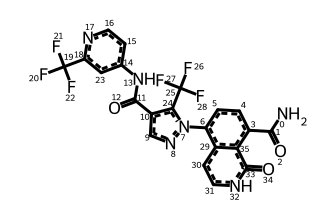 NC(=O)c1ccc(-n2ncc(C(=O)Nc3ccnc(C(F)(F)F)c3)c2C(F)(F)F)c2cc[nH]c(=O)c12